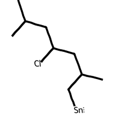 CC(C)CC(Cl)CC(C)[CH2][Sn]